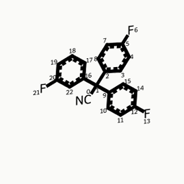 N#CC(c1ccc(F)cc1)(c1ccc(F)cc1)c1cccc(F)c1